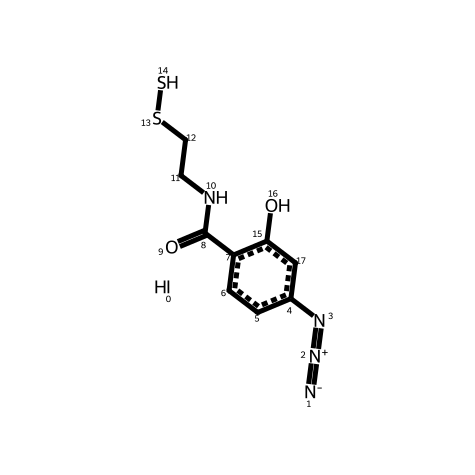 I.[N-]=[N+]=Nc1ccc(C(=O)NCCSS)c(O)c1